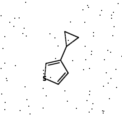 c1cc(C2CC2)cs1